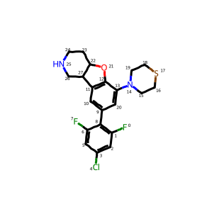 Fc1cc(Cl)cc(F)c1-c1cc2c(c(N3CCSCC3)c1)OC1CCNCC21